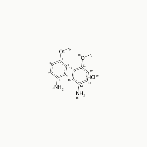 COc1ccc(N)cc1.COc1ccc(N)cc1.Cl